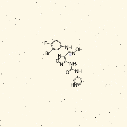 O=C(Nc1cc[nH]c1)Nc1nonc1/C(=N/O)Nc1ccc(F)c(Br)c1